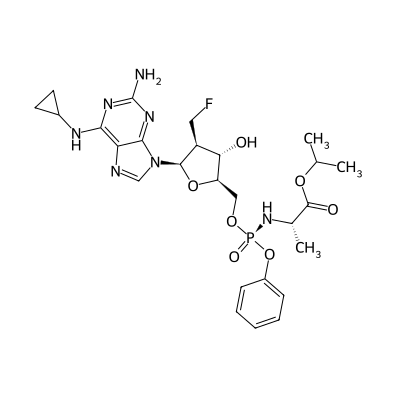 CC(C)OC(=O)[C@H](C)N[P@@](=O)(OC[C@H]1O[C@@H](n2cnc3c(NC4CC4)nc(N)nc32)[C@@H](CF)[C@@H]1O)Oc1ccccc1